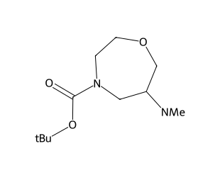 CNC1COCCN(C(=O)OC(C)(C)C)C1